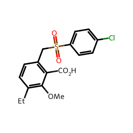 CCc1ccc(CS(=O)(=O)c2ccc(Cl)cc2)c(C(=O)O)c1OC